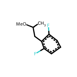 CO[C](C)Cc1c(F)cccc1F